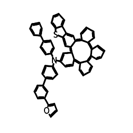 c1ccc(-c2ccc(N(c3ccc(-c4cccc(-c5ccco5)c4)cc3)c3ccc4c5ccccc5c5ccccc5c5ccccc5c5cc6c(cc5c4c3)sc3ccccc36)cc2)cc1